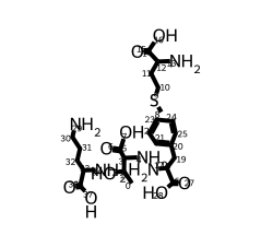 CC(O)C(N)C(=O)O.CSCCC(N)C(=O)O.NC(Cc1ccccc1)C(=O)O.NCCCC(N)C(=O)O